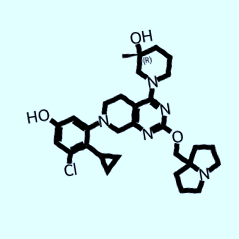 C[C@@]1(O)CCCN(c2nc(OCC34CCCN3CCC4)nc3c2CCN(c2cc(O)cc(Cl)c2C2CC2)C3)C1